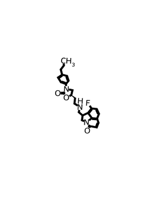 CCCc1ccc(N2C[C@@H](CCNCC3Cn4c(=O)ccc5ccc(F)c3c54)OC2=O)cc1